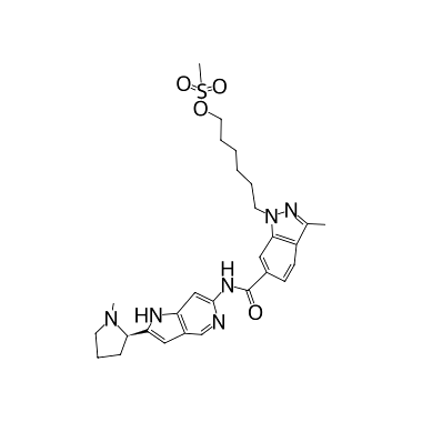 Cc1nn(CCCCCCOS(C)(=O)=O)c2cc(C(=O)Nc3cc4[nH]c([C@H]5CCCN5C)cc4cn3)ccc12